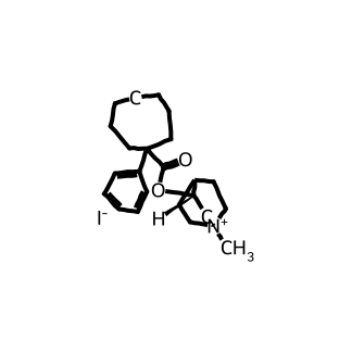 C[N+]12CCC(CC1)[C@@H](OC(=O)C1(c3ccccc3)CCCCCCC1)C2.[I-]